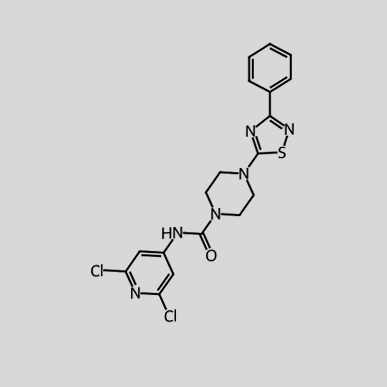 O=C(Nc1cc(Cl)nc(Cl)c1)N1CCN(c2nc(-c3ccccc3)ns2)CC1